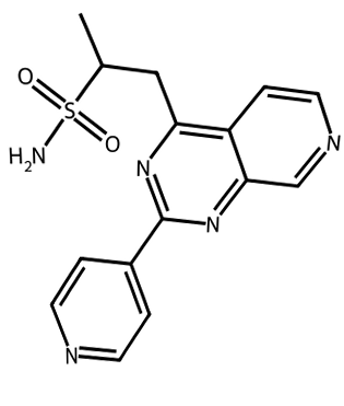 CC(Cc1nc(-c2ccncc2)nc2cnccc12)S(N)(=O)=O